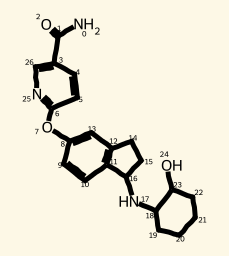 NC(=O)c1ccc(Oc2ccc3c(c2)CCC3NC2CCCCC2O)nc1